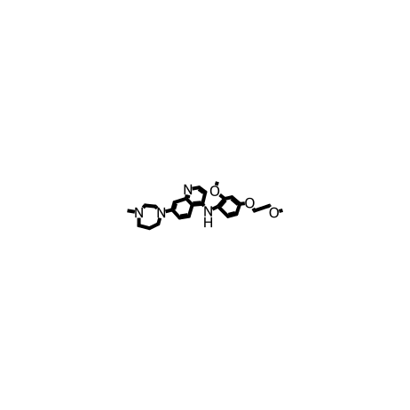 COCCOc1ccc(Nc2ccnc3cc(N4CCCN(C)CC4)ccc23)c(OC)c1